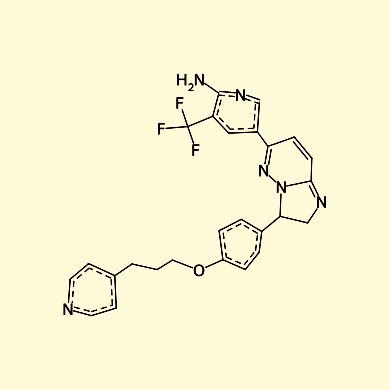 Nc1ncc(C2=NN3C(=NCC3c3ccc(OCCCc4ccncc4)cc3)C=C2)cc1C(F)(F)F